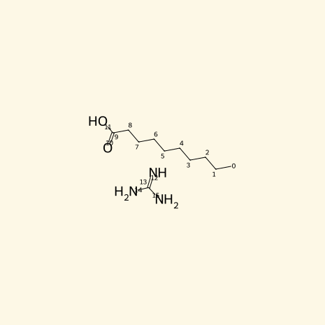 CCCCCCCCCC(=O)O.N=C(N)N